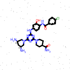 NC(=O)C1CCN(c2nc(Nc3ccc(NC(=O)c4ccc(Cl)cc4)c(O)c3)nc(N3C[C@H](N)C[C@H](N)C3)n2)CC1